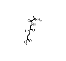 COC(=O)CCNC(=O)CNC(=O)C(C)N